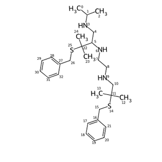 CC(C)NCC(NCCNCC(C)(C)SCc1ccccc1)C(C)(C)SCc1ccccc1